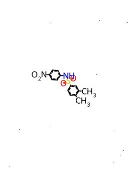 Cc1ccc(S(=O)(=O)Nc2ccc([N+](=O)[O-])cc2)cc1C